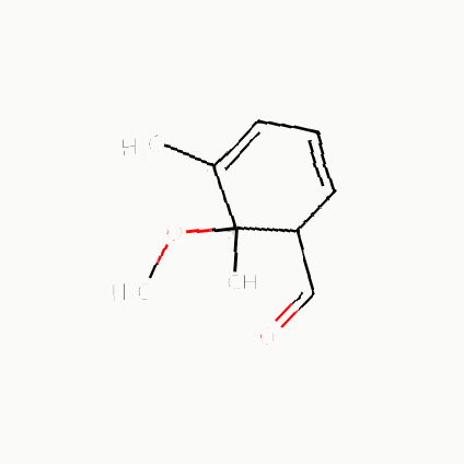 COC1(C)C(C)=CC=CC1C=O